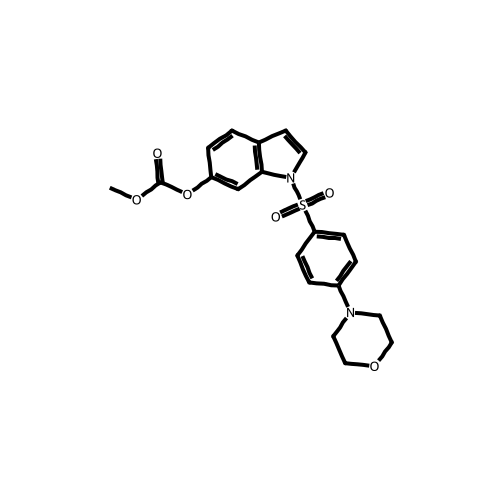 COC(=O)Oc1ccc2ccn(S(=O)(=O)c3ccc(N4CCOCC4)cc3)c2c1